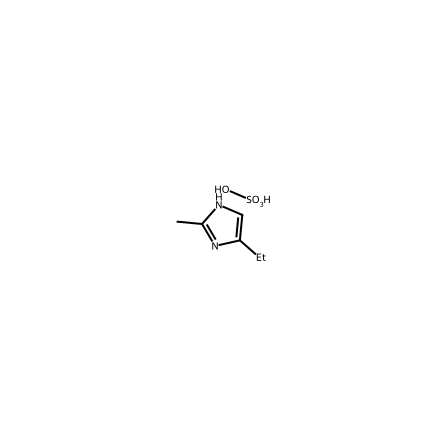 CCc1c[nH]c(C)n1.O=S(=O)(O)O